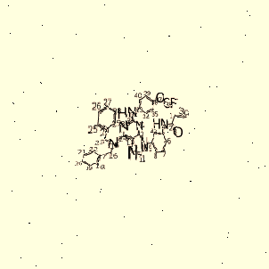 C=CC(=O)Nc1cccc(-n2cnc3c(N(Cc4ccccc4)Cc4ccccc4)nc(Nc4ccc(OC(F)(F)F)cc4)nc32)c1